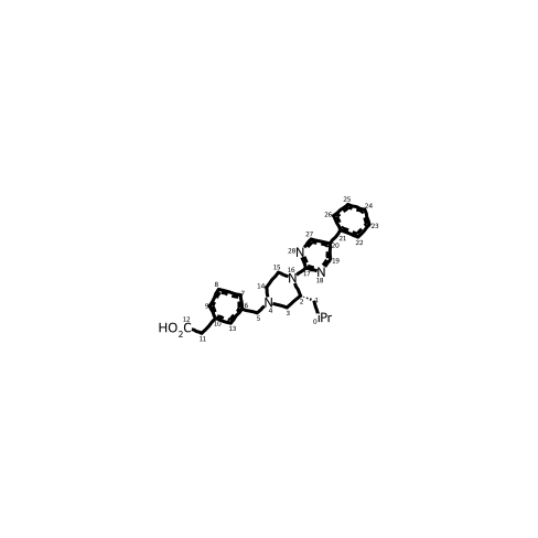 CC(C)C[C@@H]1CN(Cc2cccc(CC(=O)O)c2)CCN1c1ncc(-c2ccccc2)cn1